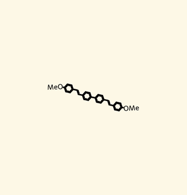 COc1ccc(C=Cc2ccc(-c3ccc(C=Cc4ccc(OC)cc4)cc3)cc2)cc1